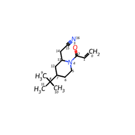 C=CC(=O)N1CCC(C(C)(C)C)CC1CC#N